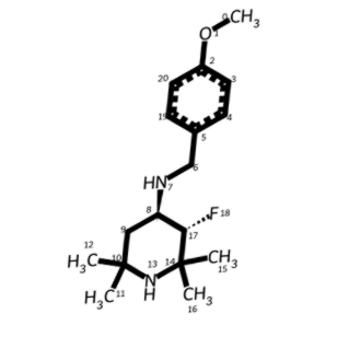 COc1ccc(CN[C@@H]2CC(C)(C)NC(C)(C)[C@H]2F)cc1